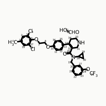 Cc1cc(Cl)c(OCCOc2ccc(C3=C(C(=O)N(Cc4cccc(OC(F)(F)F)c4)C4CC4)CNCC3)cc2)c(Cl)c1.O=CO